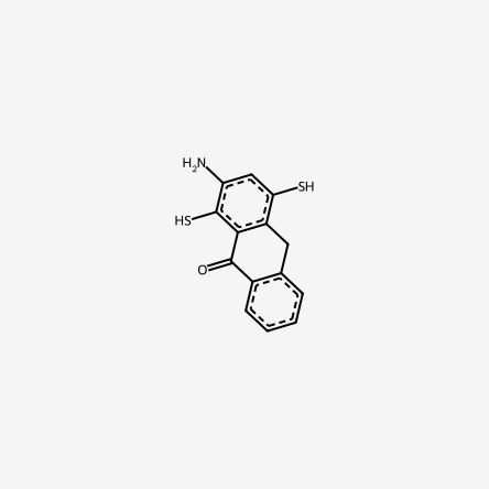 Nc1cc(S)c2c(c1S)C(=O)c1ccccc1C2